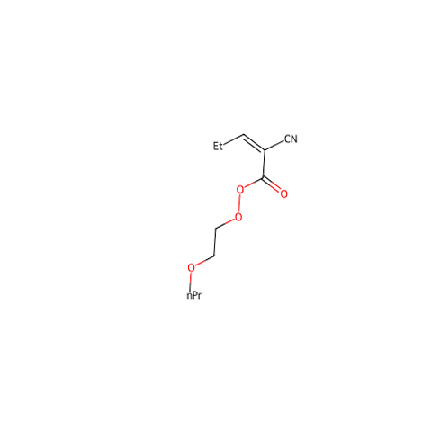 CCC=C(C#N)C(=O)OOCCOCCC